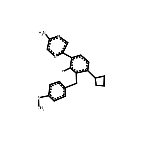 CSc1ccc(Cc2c(C3CCC3)ccc(-c3cnc(N)cn3)c2F)cc1